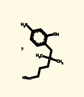 CCCCCCCCCCCC[N+](C)(C)Cc1ccc(N)cc1O.[I-]